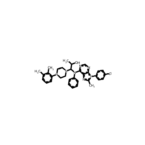 Cc1cccc(N2CCN(C(C(C)O)N(c3ccccc3)c3ncnc4c3nc(C)n4-c3ccc(Cl)cc3)CC2)c1C